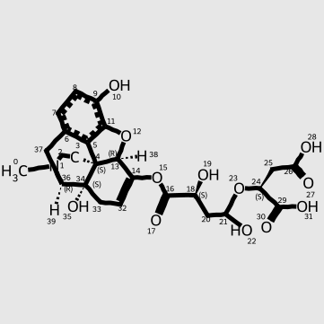 CN1CC[C@]23c4c5ccc(O)c4O[C@H]2C(OC(=O)[C@@H](O)CC(O)O[C@@H](CC(=O)O)C(=O)O)=CC[C@@]3(O)[C@H]1C5